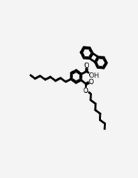 CCCCCCCCOC(=O)c1cc(CCCCCCCC)ccc1C(=O)O.c1ccc2c(c1)-c1ccccc1-2